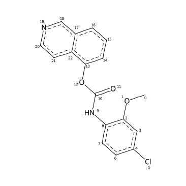 COc1cc(Cl)ccc1NC(=O)Oc1cccc2cnccc12